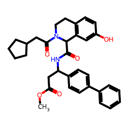 COC(=O)CC(NC(=O)C1c2cc(O)ccc2CCN1C(=O)CC1CCCC1)c1ccc(-c2ccccc2)cc1